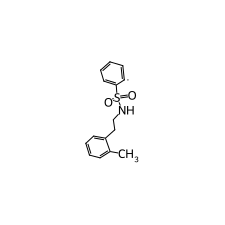 Cc1ccccc1CCNS(=O)(=O)c1[c]cccc1